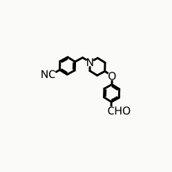 N#Cc1ccc(CN2CCC(Oc3ccc(C=O)cc3)CC2)cc1